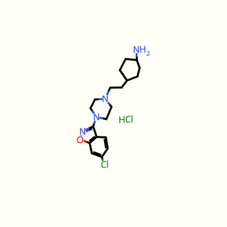 Cl.NC1CCC(CCN2CCN(c3noc4cc(Cl)ccc34)CC2)CC1